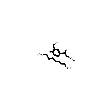 CC(C)(C)NCC(O)c1ccc(O)c(CO)c1.CCCCCCCCCCCCCCCCCC(=O)O